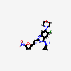 O=[N+]([O-])c1ccc(/C=C/c2nc(NC3CC3)c3cc(F)c(N4CCOCC4)cc3n2)o1